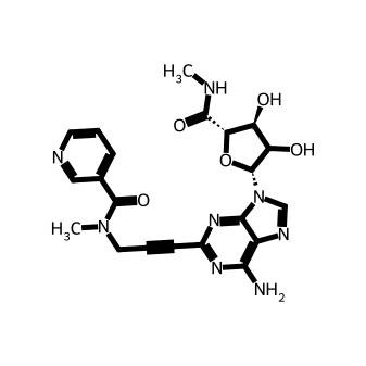 CNC(=O)[C@H]1O[C@@H](n2cnc3c(N)nc(C#CCN(C)C(=O)c4cccnc4)nc32)C(O)[C@@H]1O